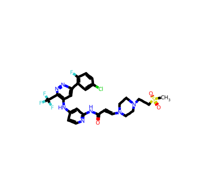 CS(=O)(=O)CCN1CCN(C=CC(=O)Nc2cc(Nc3cc(-c4cc(Cl)ccc4F)nnc3C(F)(F)F)ccn2)CC1